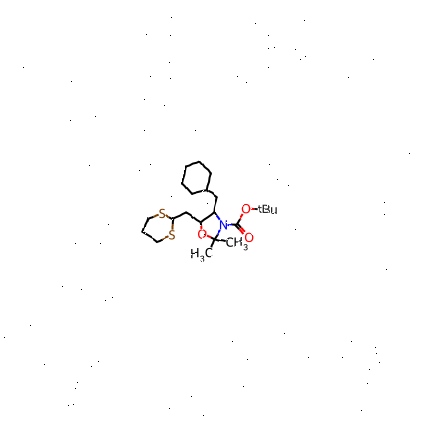 CC(C)(C)OC(=O)N1C(CC2CCCCC2)C(CC2SCCCS2)OC1(C)C